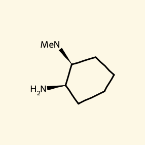 CN[C@H]1CCCC[C@H]1N